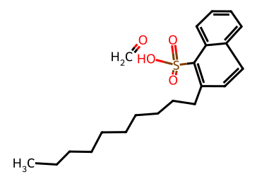 C=O.CCCCCCCCCCc1ccc2ccccc2c1S(=O)(=O)O